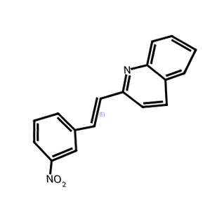 O=[N+]([O-])c1cccc(/C=C/c2ccc3ccccc3n2)c1